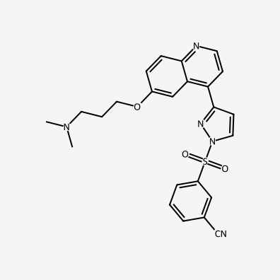 CN(C)CCCOc1ccc2nccc(-c3ccn(S(=O)(=O)c4cccc(C#N)c4)n3)c2c1